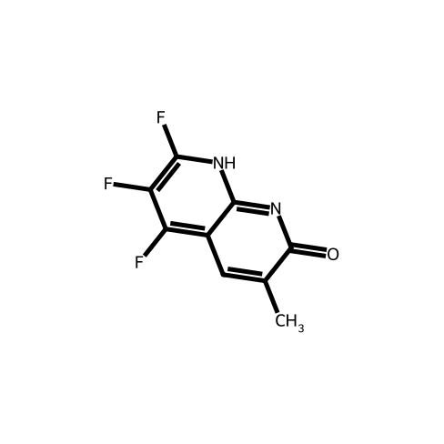 Cc1cc2c(F)c(F)c(F)[nH]c-2nc1=O